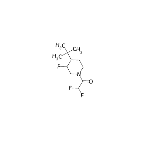 CC(C)(C)C1CCN(C(=O)C(F)F)CC1F